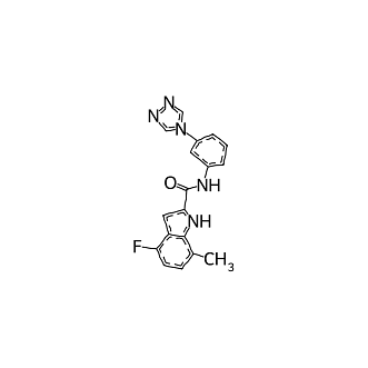 Cc1ccc(F)c2cc(C(=O)Nc3cccc(-n4cnnc4)c3)[nH]c12